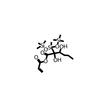 C=CC(=O)OC(=O)C(O)(C(O)CCC)[Si](C)(O[Si](C)(C)C)O[Si](C)(C)C